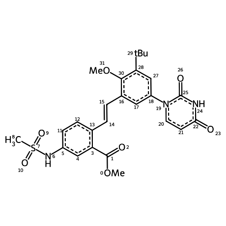 COC(=O)c1cc(NS(C)(=O)=O)ccc1C=Cc1cc(-n2ccc(=O)[nH]c2=O)cc(C(C)(C)C)c1OC